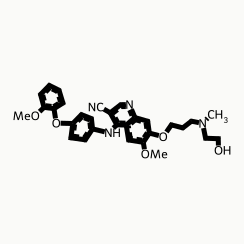 COc1cc2c(Nc3ccc(Oc4ccccc4OC)cc3)c(C#N)cnc2cc1OCCCN(C)CCO